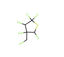 FCC1(F)C(F)SC(F)(F)C1F